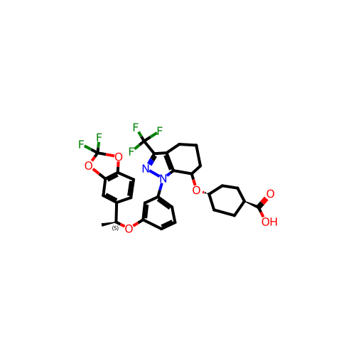 C[C@H](Oc1cccc(-n2nc(C(F)(F)F)c3c2C(O[C@H]2CC[C@H](C(=O)O)CC2)CCC3)c1)c1ccc2c(c1)OC(F)(F)O2